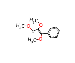 CO[C]C(OC)=C(OC)c1ccccc1